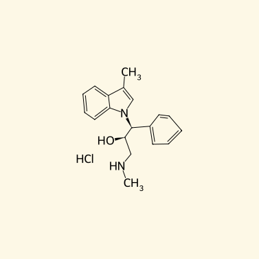 CNC[C@@H](O)[C@H](c1ccccc1)n1cc(C)c2ccccc21.Cl